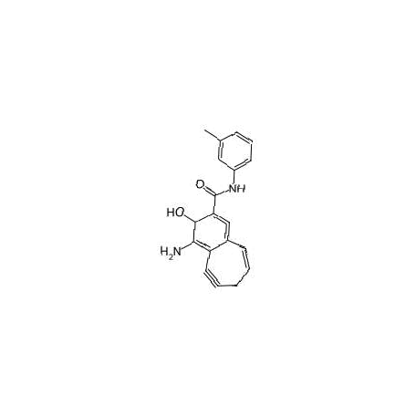 Cc1cccc(NC(=O)C2=C=C3C=CCC#CC3=C(N)C2O)c1